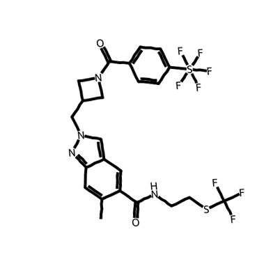 Cc1cc2nn(CC3CN(C(=O)c4ccc(S(F)(F)(F)(F)F)cc4)C3)cc2cc1C(=O)NCCSC(F)(F)F